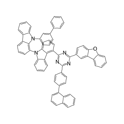 c1ccc(-c2cccc(-n3c4ccccc4c4cccc(-n5c6ccccc6c6c(-c7nc(-c8ccc(-c9cccc%10ccccc9%10)cc8)nc(-c8ccc9oc%10ccccc%10c9c8)n7)cccc65)c43)c2)cc1